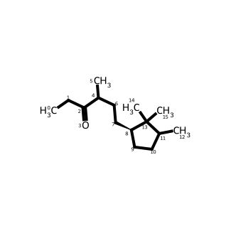 CCC(=O)C(C)CC[C@@H]1CCC(C)C1(C)C